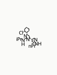 CCCNc1ncc(-c2cc(-c3ccccc3Cl)nc(NC(C)C)n2)s1